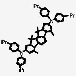 CC1=CC(N(c2ccc(C(C)C)cc2)c2ccc(C(C)C)cc2)=CC2C1c1ccc3c(c1C2(C)C)C(C)(C)c1cc(N(c2ccc(C(C)C)cc2)c2ccc(C(C)C)cc2)cc(C)c1-3